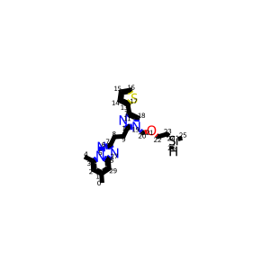 Cc1cc(C)n2nc(CCc3nc(-c4cccs4)cn3COCC[SiH](C)C)nc2c1